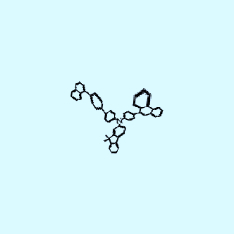 CC1(C)c2ccccc2-c2ccc(N(c3ccc(-c4ccc(-c5cccc6ccccc56)cc4)cc3)c3ccc(-c4cc5ccccc5c5ccccc45)cc3)cc21